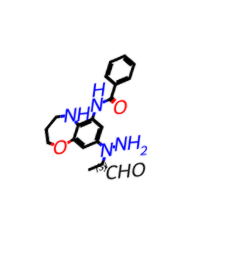 C[C@@H](C=O)N(N)c1cc(NC(=O)c2ccccc2)c2c(c1)OCCCN2